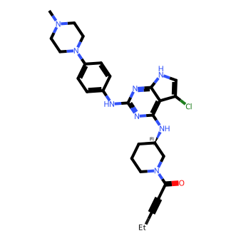 CCC#CC(=O)N1CCC[C@@H](Nc2nc(Nc3ccc(N4CCN(C)CC4)cc3)nc3[nH]cc(Cl)c23)C1